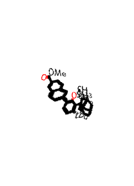 COC(=O)c1ccc2cc(-c3ccc(C(C)(C)C)c(C45CC6CC(CC(C6)C4)C5)c3O[SiH](C)C)ccc2c1